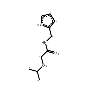 CC(C)OCC(=O)NCc1ccco1